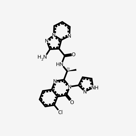 C[C@H](NC(=O)c1c(N)nn2cccnc12)c1nc2cccc(Cl)c2c(=O)n1-c1cc[nH]n1